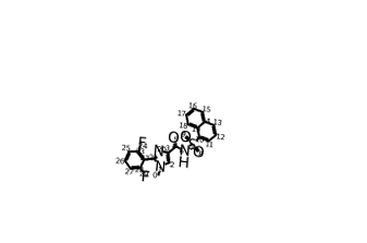 Cn1cc(C(=O)NS(=O)(=O)c2cccc3ccccc23)nc1-c1c(F)cccc1F